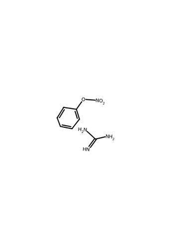 N=C(N)N.O=[N+]([O-])Oc1ccccc1